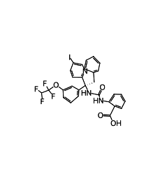 O=C(Nc1ccccc1C(=O)O)N[C@@](Cc1ccccc1)(c1cccc(OC(F)(F)C(F)F)c1)c1ccc(I)cn1